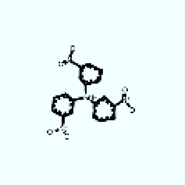 O=[N+]([O-])c1ccc[c]([SnH]([c]2cccc([N+](=O)[O-])c2)[c]2cccc([N+](=O)[O-])c2)c1